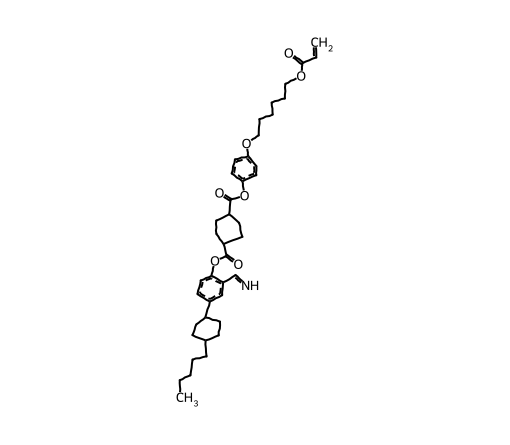 C=CC(=O)OCCCCCCOc1ccc(OC(=O)C2CCC(C(=O)Oc3ccc(C4CCC(CCCCC)CC4)cc3C=N)CC2)cc1